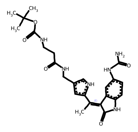 C/C(=C1\C(=O)Nc2ccc(NC(N)=O)cc21)c1cc(CNC(=O)CCNC(=O)OC(C)(C)C)c[nH]1